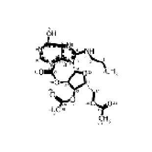 CCCNc1nc2c(O)ncnc2n1[C@@H]1O[C@H](COC(C)=O)[C@@H](OC(C)=O)[C@H]1OC(C)=O